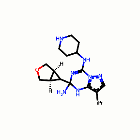 CC(C)c1cnn2c1NC(N)(C1[C@H]3COC[C@@H]13)N=C2NC1CCNCC1